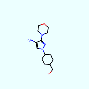 Nc1cn(C2CCC(CO)CC2)nc1N1CCOCC1